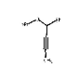 [CH2]CCOC(C#CC)CC